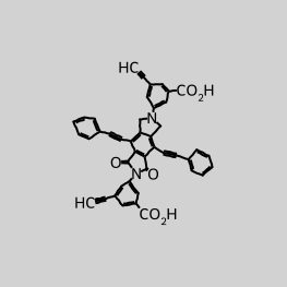 C#Cc1cc(C(=O)O)cc(N2Cc3c(C#Cc4ccccc4)c4c(c(C#Cc5ccccc5)c3C2)C(=O)N(c2cc(C#C)cc(C(=O)O)c2)C4=O)c1